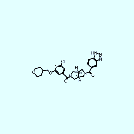 O=C(c1cc(Cl)nc(OCC2CCOCC2)c1)N1C[C@H]2CN(C(=O)c3ccc4[nH]nnc4c3)C[C@@H]2C1